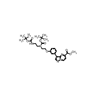 COC(=O)c1ccn2ncc(-c3cccc(OCCN(CCNC(=O)OC(C)(C)C)C(=O)OC(C)(C)C)c3)c2n1